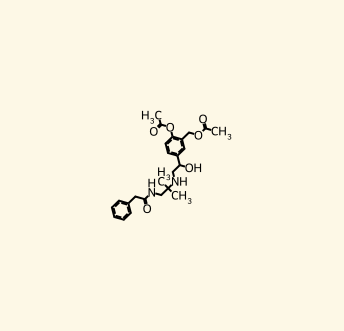 CC(=O)OCc1cc(C(O)CNC(C)(C)CNC(=O)Cc2ccccc2)ccc1OC(C)=O